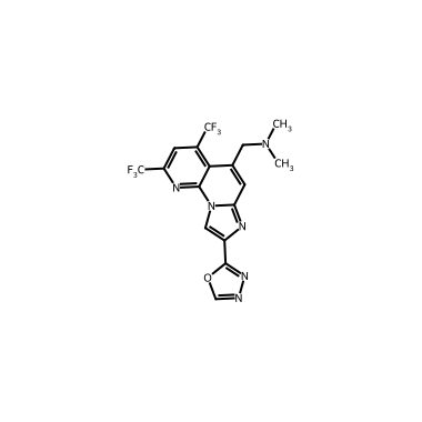 CN(C)Cc1cc2nc(-c3nnco3)cn2c2nc(C(F)(F)F)cc(C(F)(F)F)c12